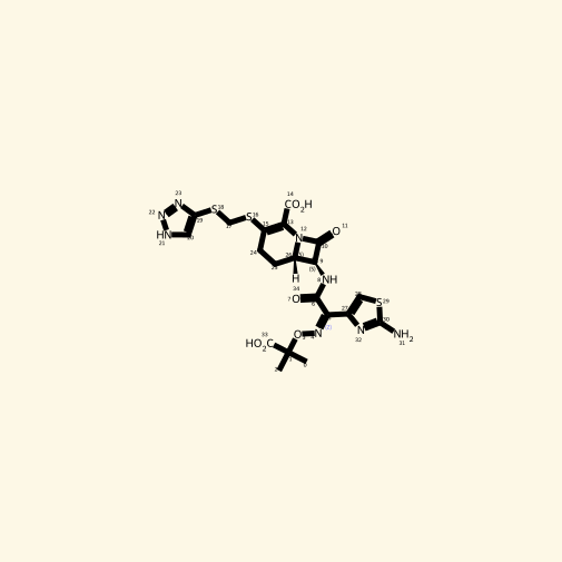 CC(C)(O/N=C(\C(=O)N[C@@H]1C(=O)N2C(C(=O)O)=C(SCSc3c[nH]nn3)CC[C@@H]12)c1csc(N)n1)C(=O)O